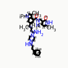 C/C(=C\C=C(/N)N1CCN(NCCC23CC4CC(CC2C4)C3)CC1)c1cc(C(=O)NCc2c(C)cc(C)[nH]c2=O)c2c(C)cn(C(C)C)c2c1